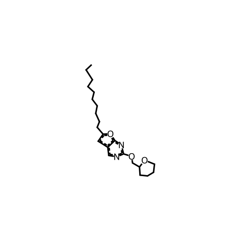 CCCCCCCCCCc1cc2cnc(OCC3CCCCO3)nc2o1